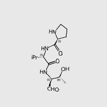 CC(C)[C@H](NC(=O)[C@@H]1CCCN1)C(=O)N[C@H]([C]=O)[C@@H](C)O